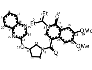 CCC(CC)n1cc(C(=O)N2CC[C@@H](Oc3cnc4ccccc4n3)C2)c2cc(OC)c(OC)cc2c1=O